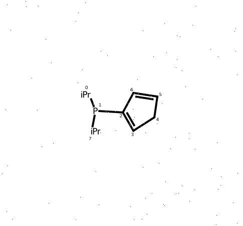 CC(C)P(C1=CCC=C1)C(C)C